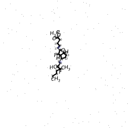 CCCCC(C)(F)[C@H](O)/C=C/[C@H]1CC[C@H]2O[C@H](/C=C/CCC(=O)OC)C(F)[C@H]12